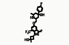 CC1CC(O)(c2ccc(F)cc2)CC(COc2cc(C(F)(F)F)c3c(c2)c(F)nn3C2CC(C)(O)C2)N1